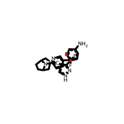 Nc1ccc(-c2n[nH]cc2CN2CC3CCC(C2)N3c2ccc(C(F)(F)F)cn2)cc1